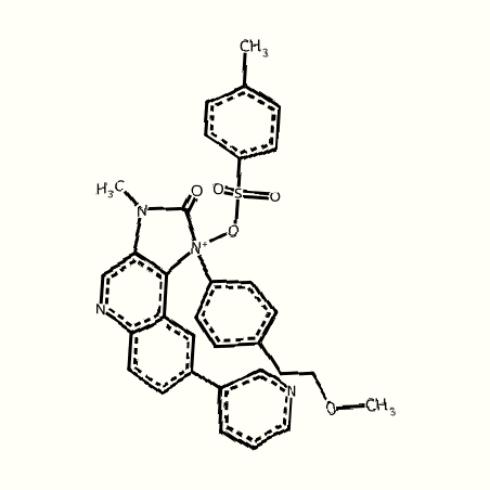 COCCc1ccc([N+]2(OS(=O)(=O)c3ccc(C)cc3)C(=O)N(C)c3cnc4ccc(-c5cccnc5)cc4c32)cc1